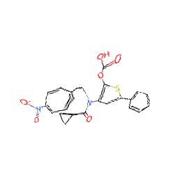 O=C(O)Oc1sc(-c2ccccc2)cc1N(Cc1ccc([N+](=O)[O-])cc1)C(=O)C1CC1